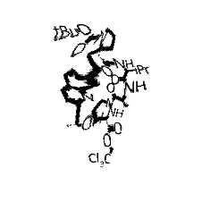 CC(C)[C@H](NC(=O)[C@@]1(/C=C/c2ccc3ccc([C@@H](C)O)nc3c2)CCCN1C(=O)OC(C)(C)C)C(=O)N[C@@H](C)C(=O)N1CCC[C@@H](C(=O)OCC(Cl)(Cl)Cl)N1